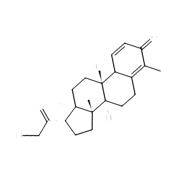 CC1=C2CC[C@H]3[C@@H]4CC[C@H](C(=O)CCl)[C@@]4(C)CC[C@@H]3[C@@]2(C)C=CC1=O